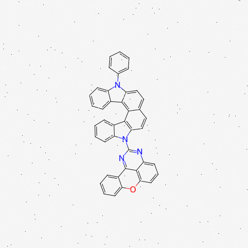 c1ccc(-n2c3ccccc3c3c4c(ccc32)ccc2c4c3ccccc3n2-c2nc3c4c(cccc4n2)Oc2ccccc2-3)cc1